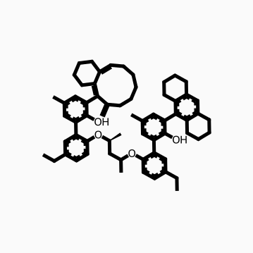 C=C1CCCCC/C=C2/CCCC/C2=C/1c1cc(C)cc(-c2cc(CC)ccc2O[C@@H](C)CC(C)Oc2ccc(CC)cc2-c2cc(C)cc(-c3c4c(cc5c3CCCC5)CCCC4)c2O)c1O